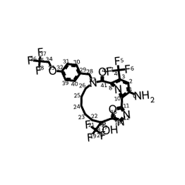 Nc1cc(C(F)(F)F)c2nc1-c1nnc(o1)[C@@](O)(C(F)(F)F)CCCCCN(Cc1ccc(OCC(F)(F)F)cc1)C2=O